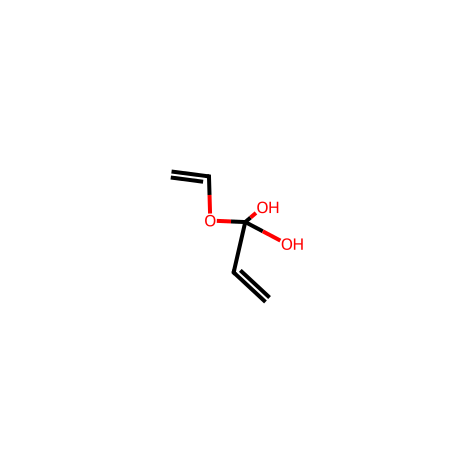 C=COC(O)(O)C=C